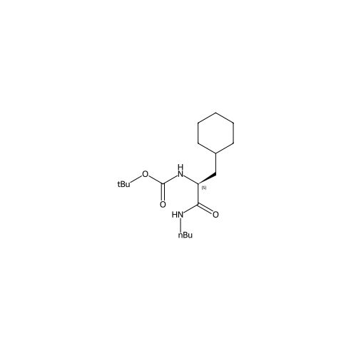 CCCCNC(=O)[C@H](CC1CCCCC1)NC(=O)OC(C)(C)C